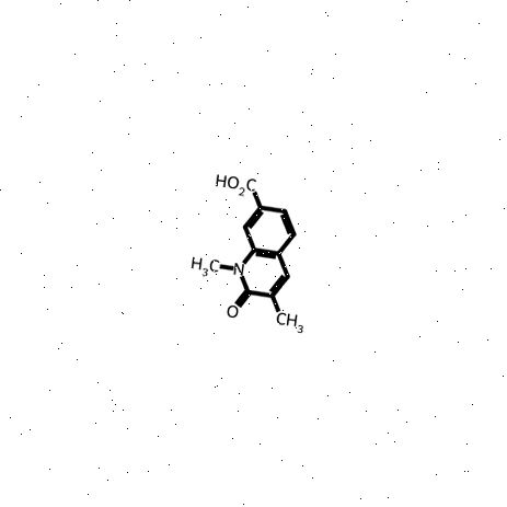 Cc1cc2ccc(C(=O)O)cc2n(C)c1=O